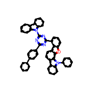 c1ccc(-c2ccc(-c3nc(-c4cccc5oc6c(ccc7c8ccccc8n(-c8ccccc8)c76)c45)nc(-n4c5ccccc5c5ccccc54)n3)cc2)cc1